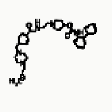 COCCN1CCN(Cc2ccc(C(=O)CNCCN3CCC(OC(=O)Nc4ccccc4-c4ccccc4)CC3)cc2)CC1